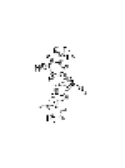 Cn1nc(-c2cc(C(F)(F)F)c(F)c(O)c2F)c2cnc(N3CCNCC34CC4)cc21